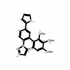 COc1cc(C=O)c(-c2cc(-c3ccco3)ccc2-n2ccnn2)c(OC)c1OC